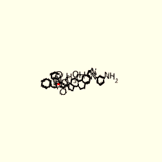 CC12Cc3cnn(-c4cccc(N)c4)c3C=C1CCC1C2C(O)CC2(C)C1CC[C@]2(OC(=O)c1ccco1)C(=O)NCc1ccccc1